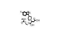 CCOC(=O)NC.O=C(O)/C=C(/C(=O)O)N1CCC(c2noc3cc(F)ccc23)CC1